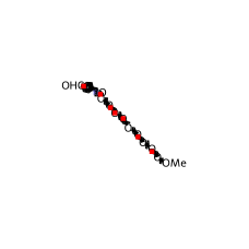 COCCOCCOCCOCCOCCOCCOCCOCCOCCOC(=O)/C=C/c1ccc(C=O)cc1